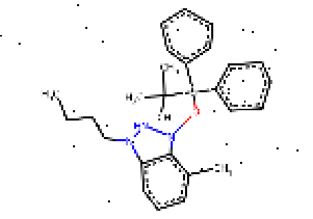 CCCCN1NN(O[Si](c2ccccc2)(c2ccccc2)C(C)(C)C)c2c(C)cccc21